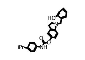 CC(C)c1ccc(NC(=O)Oc2ccc3c(c2)CCN3Cc2ccccc2O)cc1